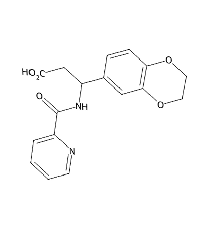 O=C(O)CC(NC(=O)c1ccccn1)c1ccc2c(c1)OCCO2